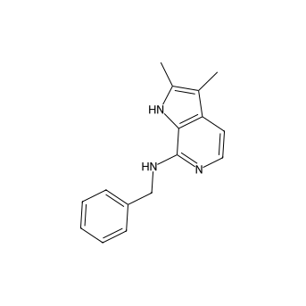 Cc1[nH]c2c(NCc3ccccc3)nccc2c1C